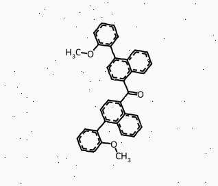 COc1ccccc1-c1ccc(C(=O)c2ccc(-c3ccccc3OC)c3ccccc23)c2ccccc12